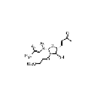 COCCO[C@@H]1[C@H](O)[C@@H](/C=C/C(=O)I)O[C@H]1N(/C=C(/C)C(C)=O)C(C)=O